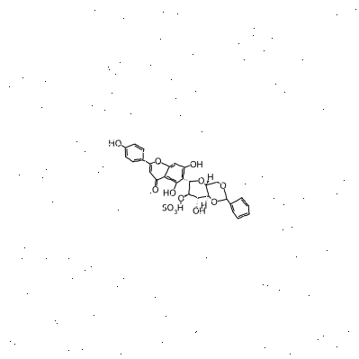 O=c1cc(-c2ccc(O)cc2)oc2cc(O)c([C@@H]3O[C@@H]4COC(c5ccccc5)O[C@H]4[C@H](O)[C@H]3OS(=O)(=O)O)c(O)c12